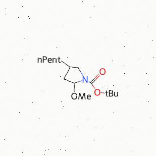 CCCCCC1CC(OC)N(C(=O)OC(C)(C)C)C1